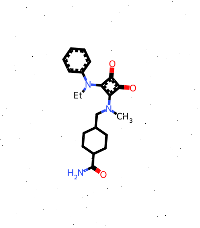 CCN(c1ccccc1)c1c(N(C)CC2CCC(C(N)=O)CC2)c(=O)c1=O